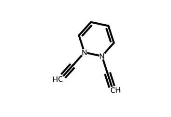 C#CN1C=CC=CN1C#C